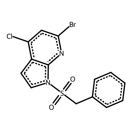 O=S(=O)(Cc1ccccc1)n1ccc2c(Cl)cc(Br)nc21